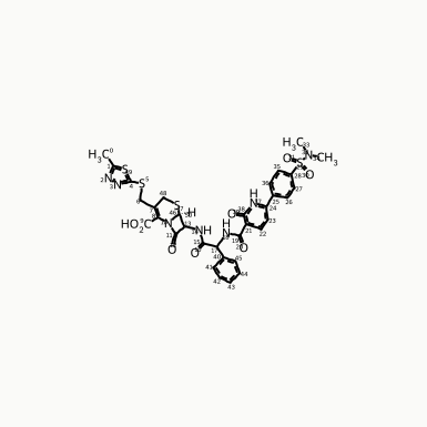 Cc1nnc(SCC2=C(C(=O)O)N3C(=O)C(NC(=O)C(NC(=O)c4ccc(-c5ccc(S(=O)(=O)N(C)C)cc5)[nH]c4=O)c4ccccc4)[C@@H]3SC2)s1